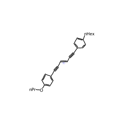 CCCCCCc1ccc(C#C/C=C/C#Cc2ccc(OCCC)cc2)cc1